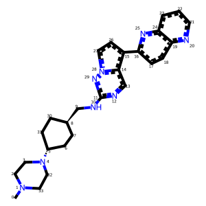 CN1CCN([C@H]2CC[C@H](CNc3ncc4c(-c5ccc6ncccc6n5)ccn4n3)CC2)CC1